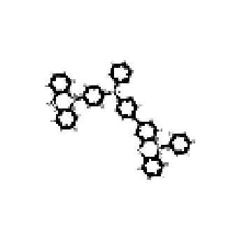 c1ccc(N(c2ccc(-c3ccc4c(c3)Sc3ccccc3N4c3ccccc3)cc2)c2ccc(N3c4ccccc4Oc4ccccc43)cc2)cc1